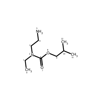 CCN(CCN)C(=O)OCC(C)C